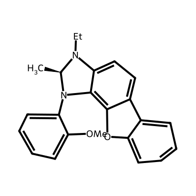 CCN1c2ccc3c(oc4ccccc43)c2N(c2ccccc2OC)[C@H]1C